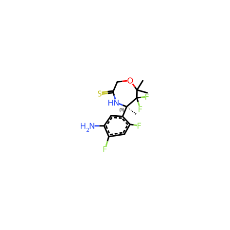 CC1(C)OCC(=S)N[C@](C)(c2cc(N)c(F)cc2F)C1(F)F